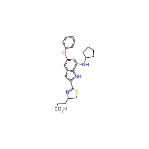 O=C(O)CCC1CSC(c2cc3cc(Oc4ccccc4)cc(NC4CCCC4)c3[nH]2)=N1